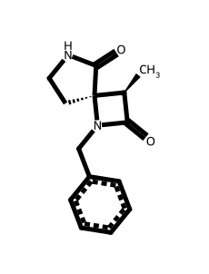 C[C@H]1C(=O)N(Cc2ccccc2)[C@]12CCNC2=O